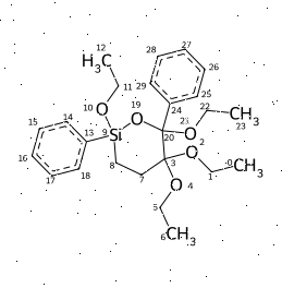 CCOC1(OCC)CC[Si](OCC)(c2ccccc2)OC1(OCC)c1ccccc1